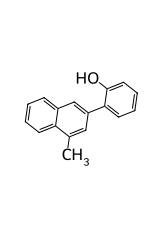 Cc1cc(-c2ccccc2O)cc2ccccc12